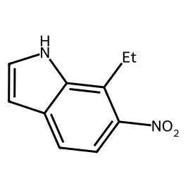 CCc1c([N+](=O)[O-])ccc2cc[nH]c12